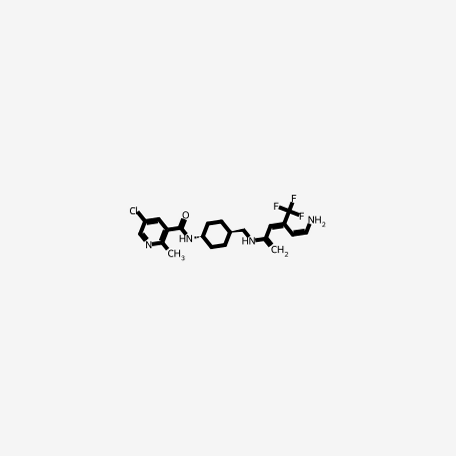 C=C(/C=C(\C=C/N)C(F)(F)F)NC[C@H]1CC[C@H](NC(=O)c2cc(Cl)cnc2C)CC1